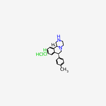 Cc1ccc([C@@H]2CN3CCNC[C@@H]3c3ccccc32)cc1.Cl.Cl